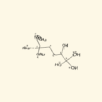 CCCCC(CCCC)(CCCC)CCC(O)C(O)(O)O